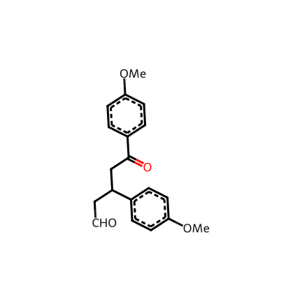 COc1ccc(C(=O)CC(CC=O)c2ccc(OC)cc2)cc1